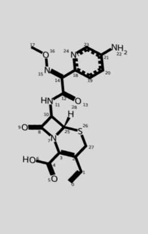 C=CC1=C(C(=O)O)N2C(=O)C(NC(=O)C(=NOC)c3ccc(N)cn3)[C@@H]2SC1